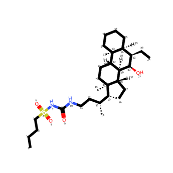 CCCCS(=O)(=O)NC(=O)NCC[C@@H](C)[C@H]1CC[C@H]2[C@@H]3[C@H](O)[C@H](CC)[C@@H]4CCCC[C@]4(C)[C@H]3CC[C@]12C